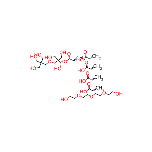 C=CC(=O)O.C=CC(=O)O.C=CC(=O)O.C=CC(=O)O.C=CC(=O)O.OCC(CO)(CO)COCC(CO)(CO)CO.OCCOCCOCCOCCO